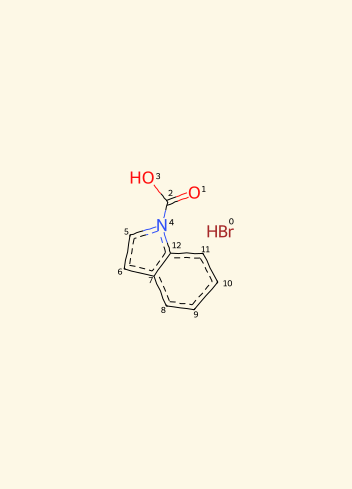 Br.O=C(O)n1ccc2ccccc21